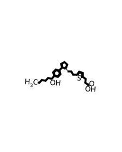 CCCCCC(O)c1ccc(C2=CCC[C@@H]2CCCc2ccc(CCC(=O)O)s2)cc1